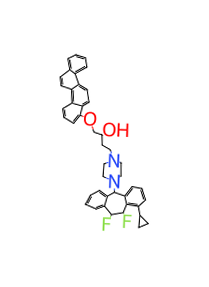 O[C@@H](CCN1CCN(C2c3ccccc3C(F)C(F)c3c(C4CC4)cccc32)CC1)COc1cccc2c1ccc1c3ccccc3ccc21